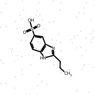 CCCc1nc2cc(S(=O)(=O)O)ccc2[nH]1